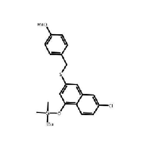 COc1ccc(CSc2cc(O[Si](C)(C)C(C)(C)C)c3ccc(Cl)cc3c2)cc1